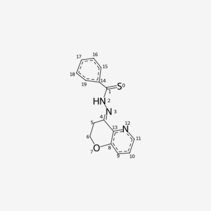 S=C(NN=C1CCOc2cccnc21)c1ccccc1